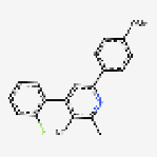 COc1ccc(-c2cc(-c3ccccc3F)c(C#N)c(C)n2)cc1